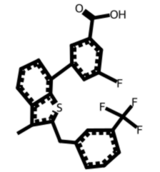 Cc1c(Cc2cccc(C(F)(F)F)c2)sc2c(-c3cc(F)cc(C(=O)O)c3)cccc12